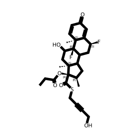 CCC(=O)O[C@]1(C(=O)SCC#CCO)[C@H](C)CC2C3C[C@H](F)C4=CC(=O)C=C[C@]4(C)[C@@]3(F)C(O)C[C@@]21C